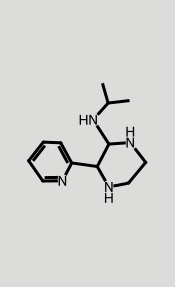 CC(C)NC1NCCNC1c1ccccn1